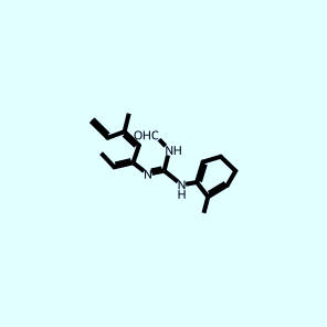 C=C\C(C)=C/C(=C\C)/N=C(\NC=O)NC1=CCCC=C1C